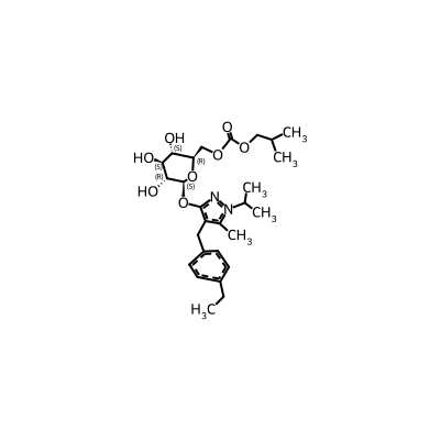 CCc1ccc(Cc2c(O[C@@H]3O[C@H](COC(=O)OCC(C)C)[C@@H](O)[C@H](O)[C@H]3O)nn(C(C)C)c2C)cc1